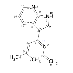 C=C/N=C(\C=C(C)C)c1c[nH]c2ncccc12